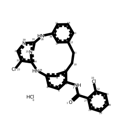 Cl.O=C(Nc1ccc2cc1CCc1cccc(c1)Nc1ncc(Cl)c(n1)N2)c1ccccc1Cl